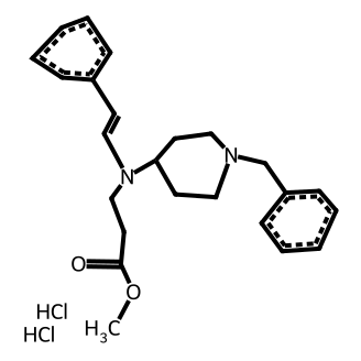 COC(=O)CCN(C=Cc1ccccc1)C1CCN(Cc2ccccc2)CC1.Cl.Cl